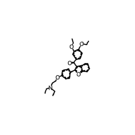 CCOc1ccc(C(=O)c2c(-c3ccc(OCCN(CC)CC)cc3)oc3ccccc23)cc1OCC